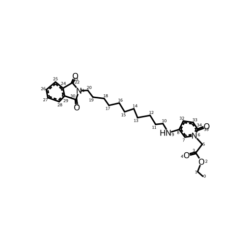 CCOC(=O)Cn1cc(NCCCCCCCCCCCN2C(=O)c3ccccc3C2=O)ccc1=O